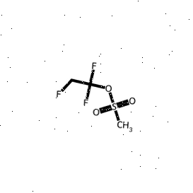 CS(=O)(=O)OC(F)(F)CF